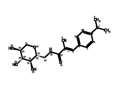 CN(C)c1ccc(/C=C(\C#N)C(=O)NC[C@H]2OC[C@H](O)[C@@H](O)[C@@H]2O)cc1